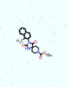 Cc1c(N2C(=O)NC3(CCN(C(=O)OC(C)(C)C)CC3)C2=O)ccc2ccccc12